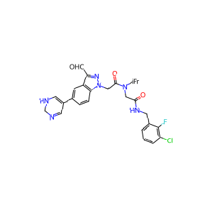 CC(C)N(CC(=O)NCc1cccc(Cl)c1F)C(=O)Cn1nc(C=O)c2cc(C3=CNCN=C3)ccc21